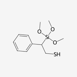 CO[Si](OC)(OC)C(CS)c1ccccc1